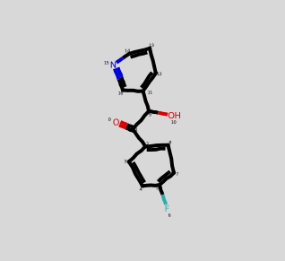 O=C(c1ccc(F)cc1)C(O)c1cccnc1